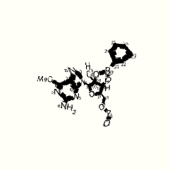 COc1nc(N)nc2c1ncn2[C@@H]1O[C@H](COP=O)[C@H]2OB(c3ccccc3)O[C@]21C